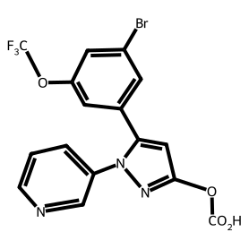 O=C(O)Oc1cc(-c2cc(Br)cc(OC(F)(F)F)c2)n(-c2cccnc2)n1